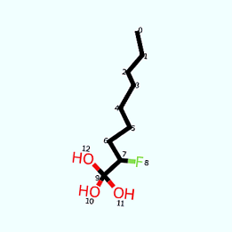 CCCCCCCC(F)C(O)(O)O